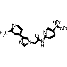 CCCN(CCC)c1ccc(NC(=O)Cn2cnc(-c3ccnc(C(F)(F)F)c3)c2)nc1